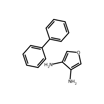 Nc1cocc1N.c1ccc(-c2ccccc2)cc1